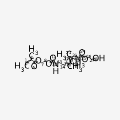 CC=C(C)C(=O)OCCOC(=O)NCCC(C)CC(C)(C)CNC(=O)OCCO